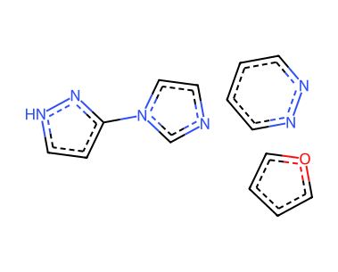 c1ccnnc1.c1ccoc1.c1cn(-c2cc[nH]n2)cn1